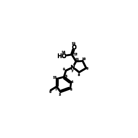 Cc1cccc(CN2CCCC2C(=O)O)c1